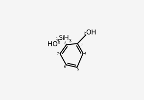 O[SiH3].Oc1ccccc1